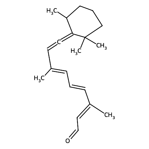 CC(C=C=C1C(C)CCCC1(C)C)=CC=CC(C)=CC=O